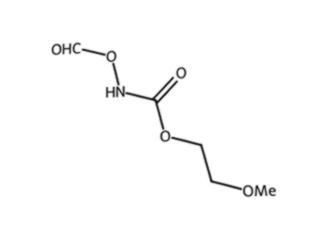 COCCOC(=O)NOC=O